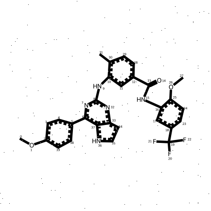 COc1ccc(-c2nc(Nc3cc(C(=O)Nc4cc(C(F)(F)F)ccc4OC)ccc3C)nc3cc[nH]c23)cc1